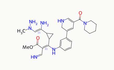 COC(=O)/C(C=N)=C(/Nc1cccc(C2=CC(C(=O)N3CCCCC3)=CNC2)c1)C1CC1/C(N)=C/N(C)N